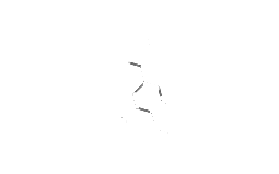 COC(=O)c1cnc(OC)c(N)c1